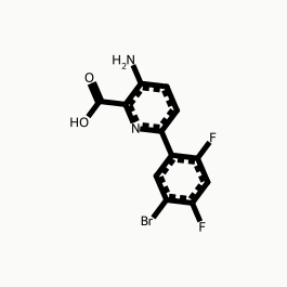 Nc1ccc(-c2cc(Br)c(F)cc2F)nc1C(=O)O